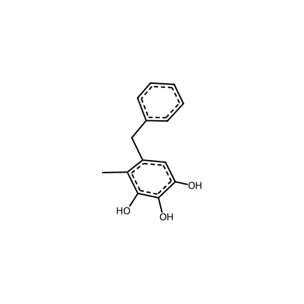 Cc1c(Cc2ccccc2)cc(O)c(O)c1O